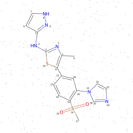 Cc1nc(Nc2cc[nH]n2)sc1-c1ccc(S(C)(=O)=O)c(-n2ccnc2)c1